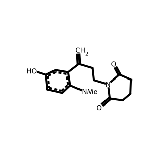 C=C(CCN1C(=O)CCCC1=O)c1cc(O)ccc1NC